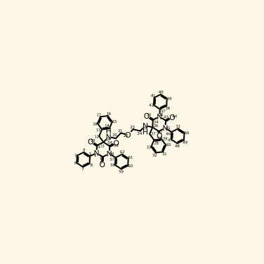 O=C1N(c2ccccc2)C(=O)C(Cc2ccccc2)(NCCOCCNC2(Cc3ccccc3)C(=O)N(c3ccccc3)C(=O)N(c3ccccc3)C2=O)C(=O)N1c1ccccc1